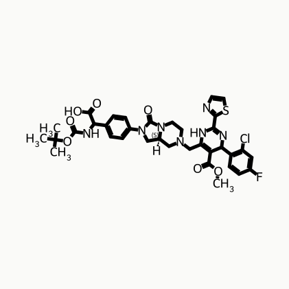 COC(=O)C1=C(CN2CCN3C(=O)N(c4ccc(C(NC(=O)OC(C)(C)C)C(=O)O)cc4)C[C@@H]3C2)NC(c2nccs2)=NC1c1ccc(F)cc1Cl